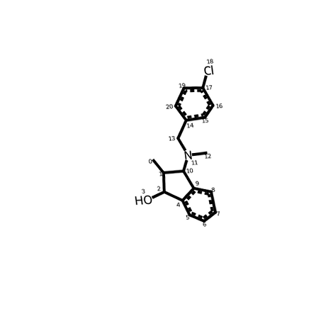 CC1C(O)c2ccccc2C1N(C)Cc1ccc(Cl)cc1